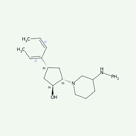 C/C=C\C(=C/C)[C@H]1C[C@H](O)[C@@H](N2CCCC(NP)C2)C1